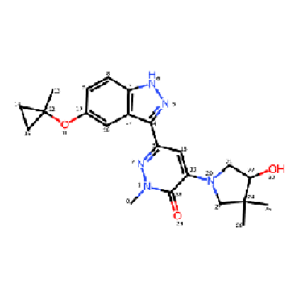 Cn1nc(-c2n[nH]c3ccc(OC4(C)CC4)cc23)cc(N2CC(O)C(C)(C)C2)c1=O